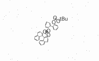 CC(C)(C)OC(=O)Oc1ccccc1-c1ccccc1Op1oc2ccc3ccccc3c2c2c(ccc3ccccc32)o1